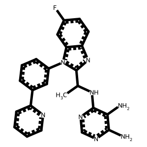 CC(Nc1ncnc(N)c1N)c1nc2ccc(F)cc2n1-c1cccc(-c2ccccn2)c1